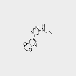 CCCNc1cc(-c2cnc3c(c2)OCCO3)ncn1